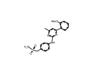 COc1ccccc1-c1cc(C)nc(Nc2ccc(CS(N)(=O)=O)cc2)n1